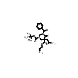 C=CCOC(=O)C1(CC(=C)Cl)CN(C(=O)OC(C)(C)C)CN(C(=O)c2ccccc2)C1=O